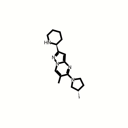 Cc1cn2nc([C@@H]3CCCCN3)cc2nc1N1CC[C@H](C)C1